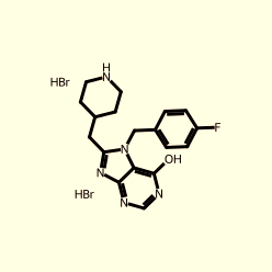 Br.Br.Oc1ncnc2nc(CC3CCNCC3)n(Cc3ccc(F)cc3)c12